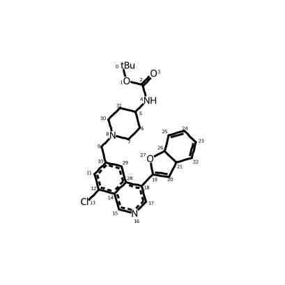 CC(C)(C)OC(=O)NC1CCN(Cc2cc(Cl)c3cncc(C4=CC5C=CC=CC5O4)c3c2)CC1